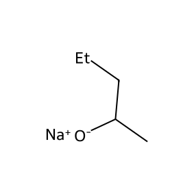 CCCC(C)[O-].[Na+]